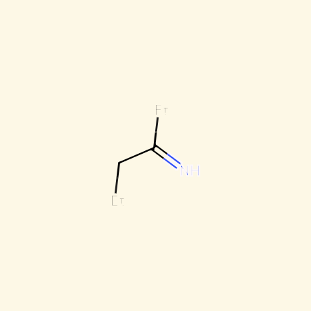 [CH2]CCC(=N)C[CH2]